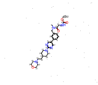 CN(Cc1cccc(-c2cnc(N3CCC(CCN4CCOCC4)CC3)nc2)c1)C(=O)CNC(=O)OC(C)(C)C